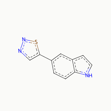 c1cc2cc(-c3cnns3)ccc2[nH]1